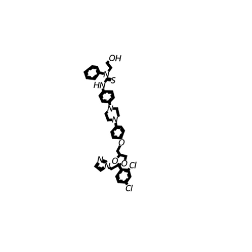 OCCN(C(=S)Nc1ccc(N2CCN(c3ccc(OCC4COC(Cn5ccnc5)(c5ccc(Cl)cc5Cl)O4)cc3)CC2)cc1)c1ccccc1